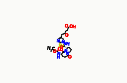 COC(=O)N[C@H]1CCC(=O)N2CCC[C@@H](C(=O)NN3CC(CC(=O)CCC(=O)O)=CN=C3S)N2C1=O